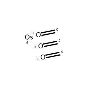 [C]=O.[C]=O.[C]=O.[Os]